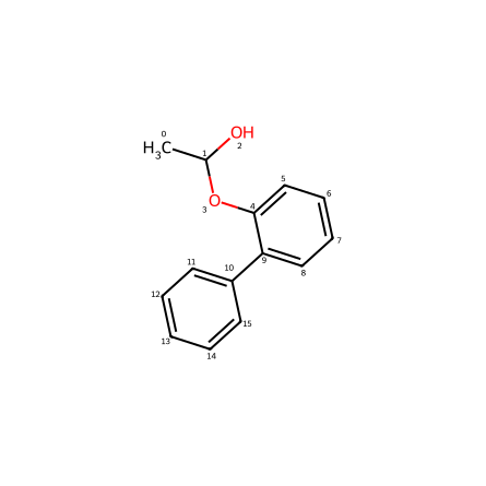 CC(O)Oc1ccccc1-c1ccccc1